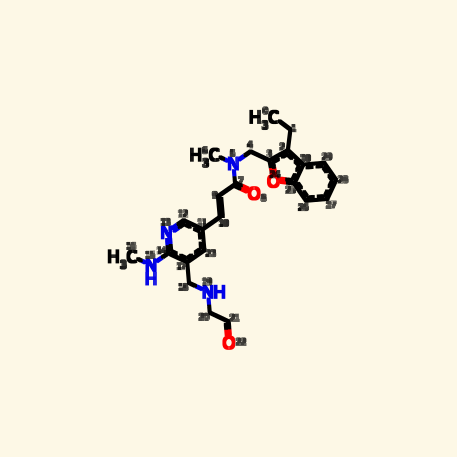 CCc1c(CN(C)C(=O)/C=C/c2cnc(NC)c(CNCC=O)c2)oc2ccccc12